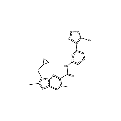 Cc1cc2cc(F)c(C(=O)Nc3cccc(-c4nncn4C(C)C)n3)cc2n1CC1CC1